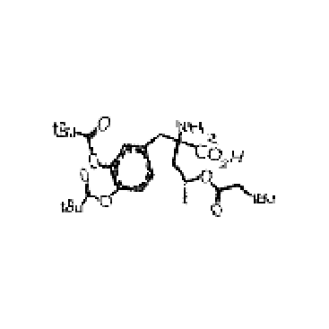 CCC(C)CC(=O)O[C@@H](C)CC(N)(Cc1ccc(OC(=O)C(C)(C)C)c(OC(=O)C(C)(C)C)c1)C(=O)O